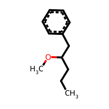 CCC[C](Cc1ccccc1)OC